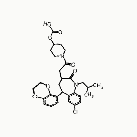 CC(C)CN1C(=O)C(CC(=O)N2CCC(OC(=O)O)CC2)CC(c2cccc3c2OCCO3)c2cc(Cl)ccc21